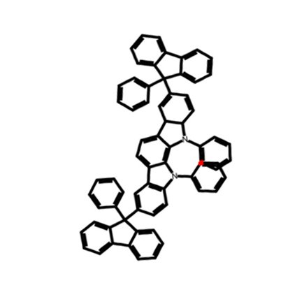 C1=CC2C(C=C1C1(c3ccccc3)c3ccccc3-c3ccccc31)c1ccc3c4cc(C5(c6ccccc6)c6ccccc6-c6ccccc65)ccc4n(-c4ccccc4)c3c1N2c1ccccc1